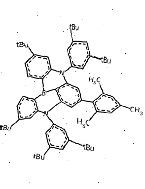 Cc1cc(C)c(-c2cc3c4c(c2)N(c2cc(C(C)(C)C)cc(C(C)(C)C)c2)c2cc(C(C)(C)C)ccc2B4c2ccc(C(C)(C)C)cc2N3c2cc(C(C)(C)C)cc(C(C)(C)C)c2)c(C)c1